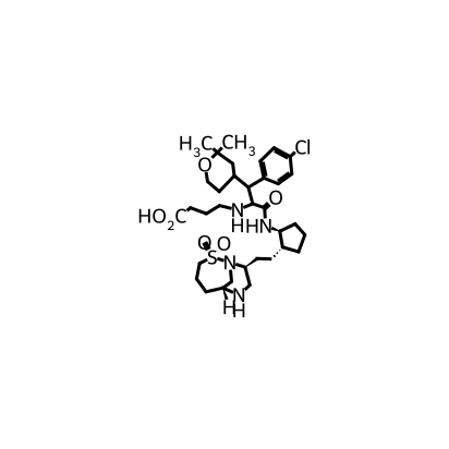 CC1(C)CC(C(c2ccc(Cl)cc2)C(NCCCC(=O)O)C(=O)N[C@H]2CCC[C@@H]2CC[C@H]2CN[C@@H]3CCCS(=O)(=O)N2C3)CCO1